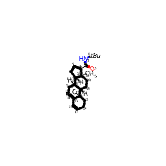 CC(C)(C)NC(=O)[C@H]1CC[C@H]2[C@@H]3CC=C4C=CCC[C@]4(C)[C@H]3CC[C@]12C